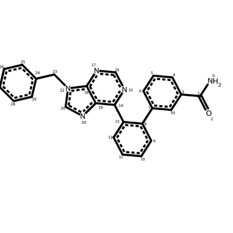 NC(=O)c1cccc(-c2ccccc2-c2ncnc3c2ncn3Cc2ccccc2)c1